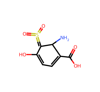 NC1C(C(=O)O)=CC=C(O)C1=S(=O)=O